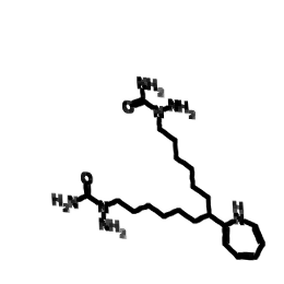 NC(=O)N(N)CCCCCCC(CCCCCCN(N)C(N)=O)C1=CC=CC=CN1